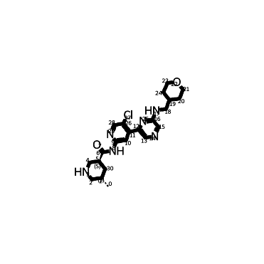 C[C@@H]1CNC[C@@H](C(=O)Nc2cc(-c3cncc(NCC4CCOCC4)n3)c(Cl)cn2)C1